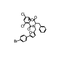 O=C(O)C(Cc1ccccc1)N(Cc1ccc(-c2ccc(Br)cc2)o1)C(=O)c1ccc(Cl)cc1Cl